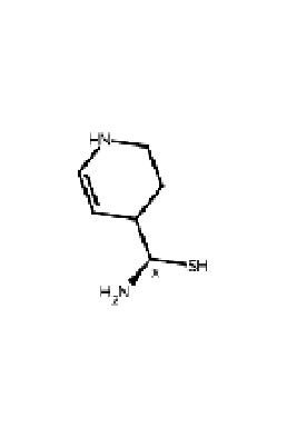 N[C@H](S)C1C=CNCC1